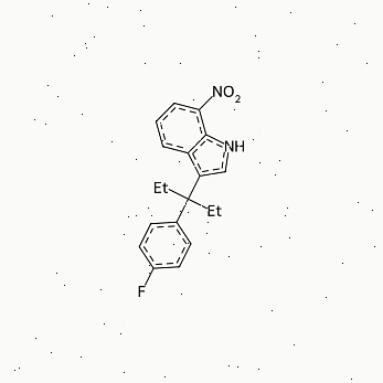 CCC(CC)(c1ccc(F)cc1)c1c[nH]c2c([N+](=O)[O-])cccc12